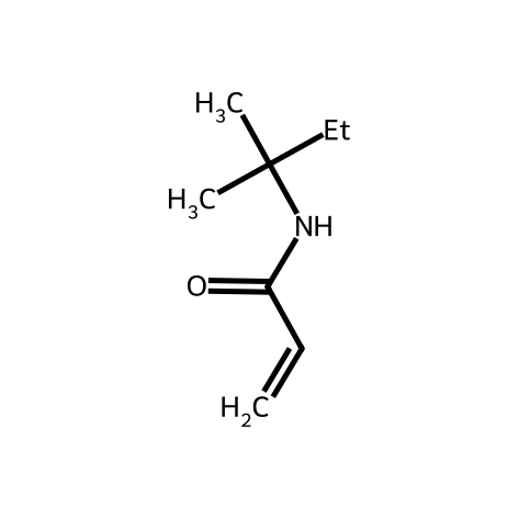 [CH2]CC(C)(C)NC(=O)C=C